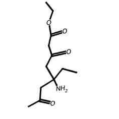 CCOC(=O)CC(=O)CC(N)(CC)CC(C)=O